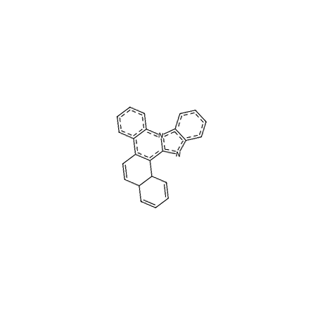 C1=CC2C=Cc3c(c4nc5ccccc5n4c4ccccc34)C2C=C1